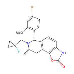 C=C1Cc2c(ccc3[nH]c(=O)oc23)[C@@H](c2ccc(Br)cc2OC)N1CC1(F)CC1